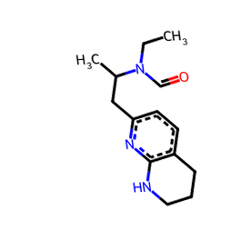 CCN(C=O)C(C)Cc1ccc2c(n1)NCCC2